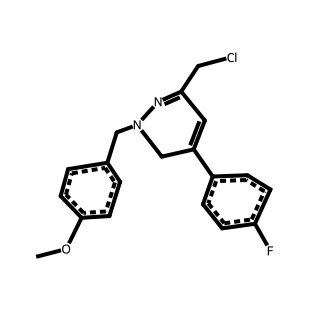 COc1ccc(CN2CC(c3ccc(F)cc3)=CC(CCl)=N2)cc1